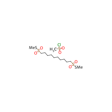 CS(=O)(=O)Cl.CSS(=O)(=O)CCCCCCCCCCS(=O)(=O)SC